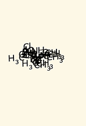 CCS(=O)(=O)c1ccc(Cl)cc1N(C)C(=O)c1cc(Br)c(N(C(=O)OC(C)(C)C)C2CCN(C(=O)OC(C)(C)C)CC2)cc1N